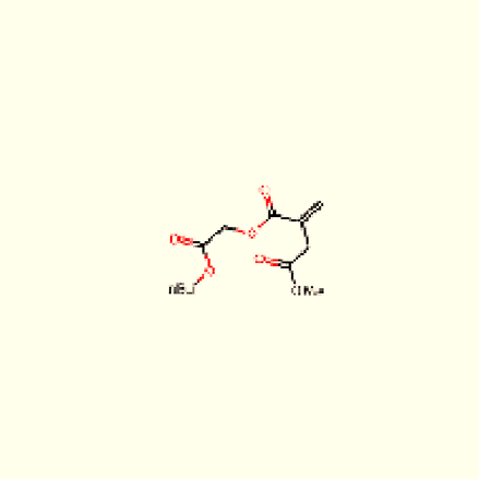 C=C(CC(=O)OC)C(=O)OCC(=O)OCCCC